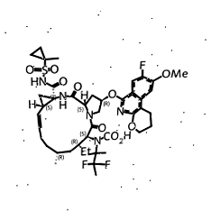 CC[C@@H]1C[C@H](C)CCC=C[C@@H]2C[C@@]2(C(=O)NS(=O)(=O)C2(C)CC2)NC(=O)[C@@H]2C[C@@H](Oc3nc4c(c5cc(OC)c(F)cc35)CCCO4)CN2C(=O)[C@H]1N(C(=O)O)C(C)(C)C(C)(F)F